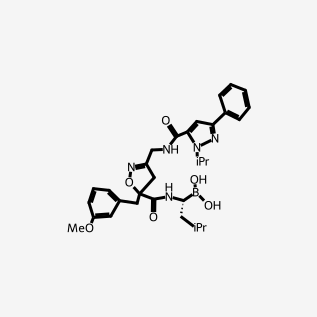 COc1cccc(CC2(C(=O)N[C@@H](CC(C)C)B(O)O)CC(CNC(=O)c3cc(-c4ccccc4)nn3C(C)C)=NO2)c1